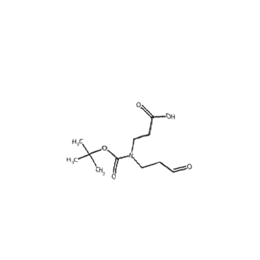 CC(C)(C)OC(=O)N(CCC=O)CCC(=O)O